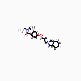 CN(C)C(=O)c1ccc(OCCCN2CC3CCCCC3C2)cc1